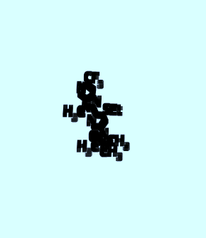 CCSc1cc(N=S(C)(=O)N(C)C)cnc1-c1nc2cc(C(F)(F)F)ncc2n1C